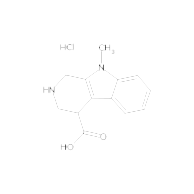 Cl.Cn1c2c(c3ccccc31)C(C(=O)O)CNC2